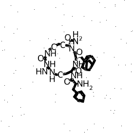 N=C1NCCC[C@@H](NC(=O)[C@@H](N)Cc2ccccc2)C(=O)N[C@@H](CC23CC4CC(CC(C4)C2)C3)C(=O)N[C@@H](C(N)=O)CCCCNC(=O)N1